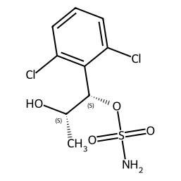 C[C@H](O)[C@@H](OS(N)(=O)=O)c1c(Cl)cccc1Cl